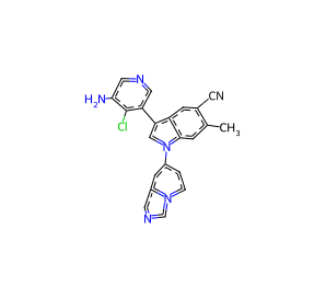 Cc1cc2c(cc1C#N)c(-c1cncc(N)c1Cl)cn2-c1ccn2cncc2c1